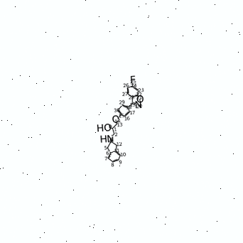 OC(CNC1Cc2ccccc2C1)COc1ccc(-c2noc3cc(F)ccc23)cc1